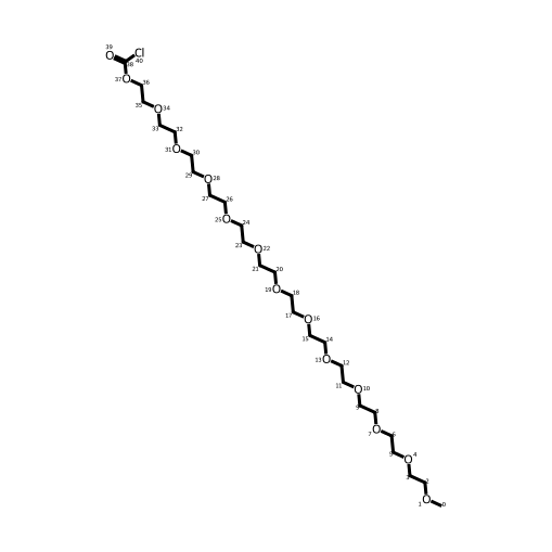 COCCOCCOCCOCCOCCOCCOCCOCCOCCOCCOCCOCCOC(=O)Cl